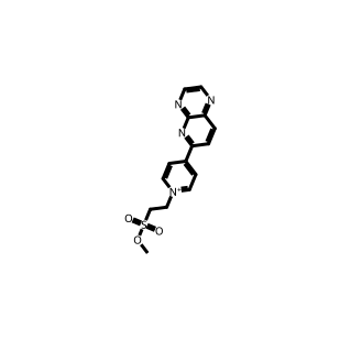 COS(=O)(=O)CC[n+]1ccc(-c2ccc3nccnc3n2)cc1